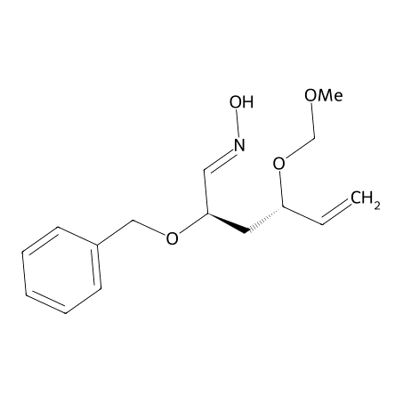 C=C[C@H](C[C@H](C=NO)OCc1ccccc1)OCOC